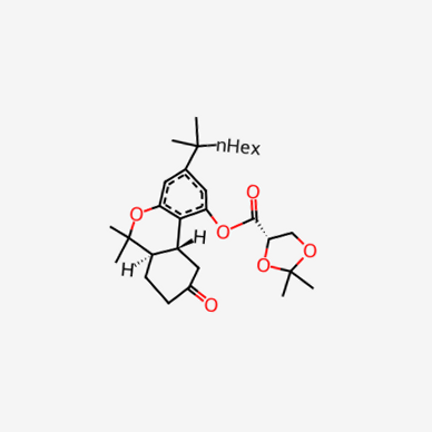 CCCCCCC(C)(C)c1cc(OC(=O)[C@@H]2COC(C)(C)O2)c2c(c1)OC(C)(C)[C@@H]1CCC(=O)C[C@@H]21